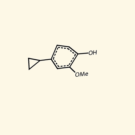 COc1cc(C2CC2)ccc1O